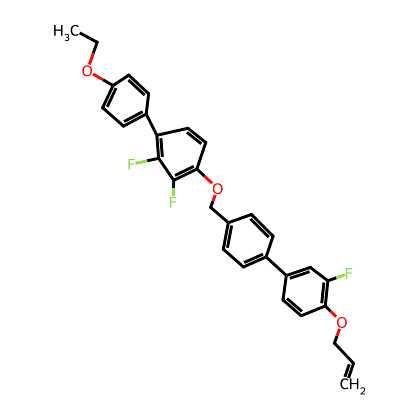 C=CCOc1ccc(-c2ccc(COc3ccc(-c4ccc(OCC)cc4)c(F)c3F)cc2)cc1F